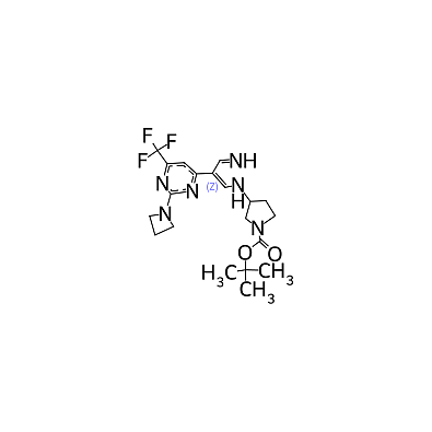 CC(C)(C)OC(=O)N1CCC(N/C=C(\C=N)c2cc(C(F)(F)F)nc(N3CCC3)n2)C1